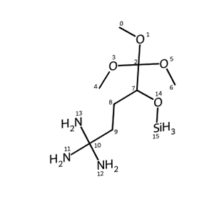 COC(OC)(OC)C(CCC(N)(N)N)O[SiH3]